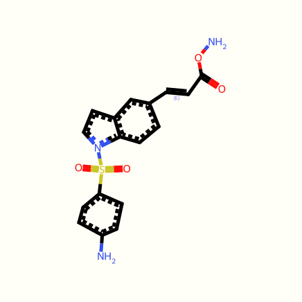 NOC(=O)/C=C/c1ccc2c(ccn2S(=O)(=O)c2ccc(N)cc2)c1